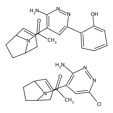 CC(=O)N1C2C=C(c3cc(-c4ccccc4O)nnc3N)CC1CC2.CC(=O)N1C2C=C(c3cc(Cl)nnc3N)CC1CC2